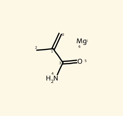 C=C(C)C(N)=O.[Mg]